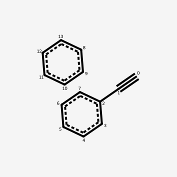 C#Cc1ccccc1.c1ccccc1